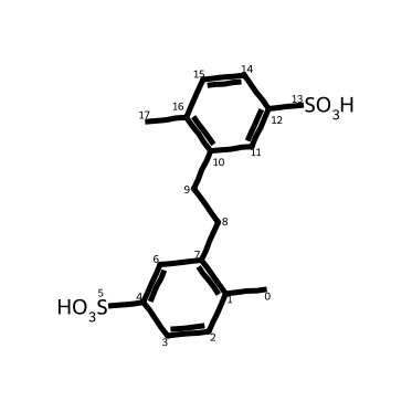 Cc1ccc(S(=O)(=O)O)cc1CCc1cc(S(=O)(=O)O)ccc1C